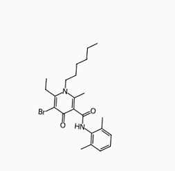 CCCCCCn1c(C)c(C(=O)Nc2c(C)cccc2C)c(=O)c(Br)c1CC